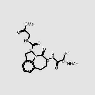 COC(=O)CNC(=O)[C@@H]1Cc2cccc3c2N1C(=O)[C@@H](NC(=O)[C@@H](NC(C)=O)C(C)C)CC3